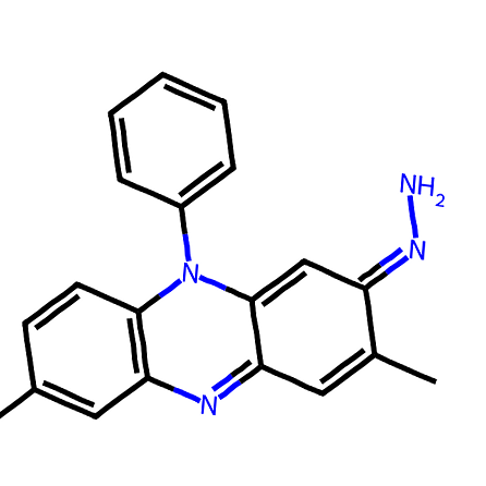 Cc1ccc2c(c1)nc1cc(C)c(=NN)cc-1n2-c1ccccc1